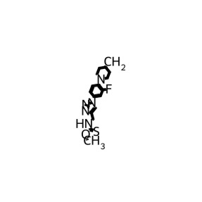 C=C1CCN(c2ccc(-n3cc(CNC(=S)OC)nn3)cc2F)CC1